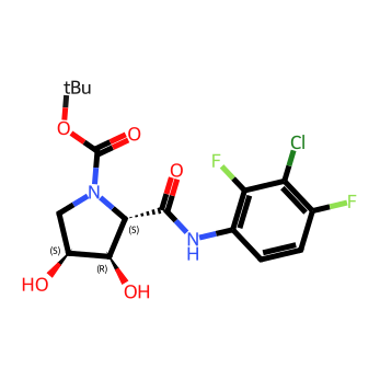 CC(C)(C)OC(=O)N1C[C@H](O)[C@H](O)[C@H]1C(=O)Nc1ccc(F)c(Cl)c1F